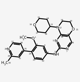 COc1cc(Nc2ncc3c(n2)N(C2CCOCC2)CCO3)ccc1-c1ccnc(C)c1